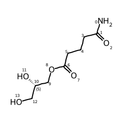 NC(=O)CCCC(=O)OC[C@@H](O)CO